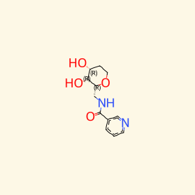 O=C(NC[C@H]1OCC[C@@H](O)[C@H]1O)c1cccnc1